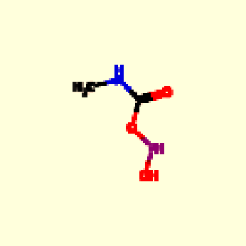 CNC(=O)OPO